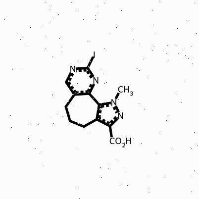 Cn1nc(C(=O)O)c2c1-c1nc(I)ncc1CCC2